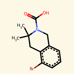 CC1(C)Cc2c(Br)cccc2CN1C(=O)O